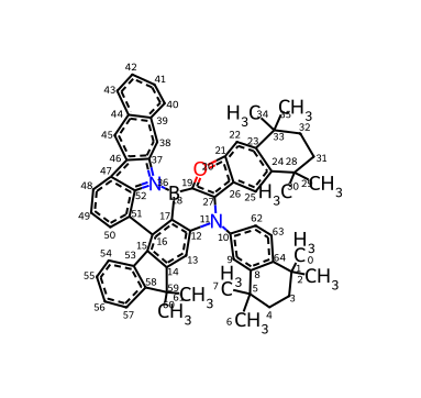 CC1(C)CCC(C)(C)c2cc(N3c4cc5c(c6c4B(c4oc7cc8c(cc7c43)C(C)(C)CCC8(C)C)n3c4cc7ccccc7cc4c4cccc-6c43)-c3ccccc3C5(C)C)ccc21